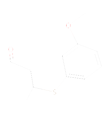 COc1cccc(SC(C)CC=O)c1